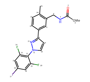 COC(=O)NCc1cc(-c2ccn(-c3c(F)cc(I)cc3F)n2)ccc1C